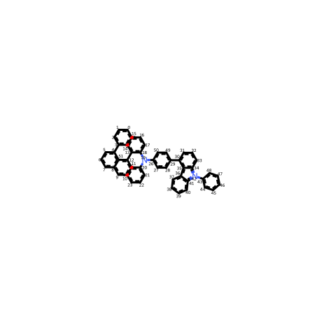 c1ccc(-c2cccc3cccc(-c4ccccc4N(c4ccccc4)c4ccc(-c5cccc6c5c5ccccc5n6-c5ccccc5)cc4)c23)cc1